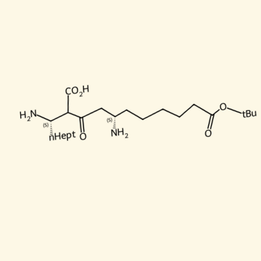 CCCCCCC[C@H](N)C(C(=O)O)C(=O)C[C@@H](N)CCCCCC(=O)OC(C)(C)C